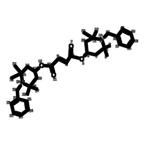 CC1(C)CC(OC(=O)C=CC(=O)OC2CC(C)(C)N(Cc3ccccc3)C(C)(C)C2)CC(C)(C)N1Cc1ccccc1